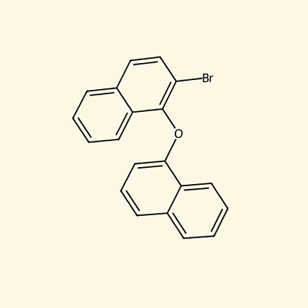 Brc1ccc2ccccc2c1Oc1cccc2ccccc12